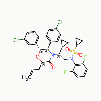 C=CC[C@H]1O[C@H](c2cccc(Cl)c2)[C@@H](c2ccc(Cl)cc2)N([C@@H](CN(c2c(F)cccc2F)S(=O)(=O)C2CC2)C2CC2)C1=O